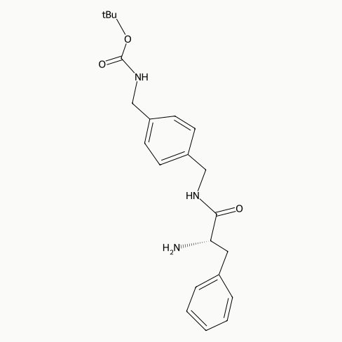 CC(C)(C)OC(=O)NCc1ccc(CNC(=O)[C@@H](N)Cc2ccccc2)cc1